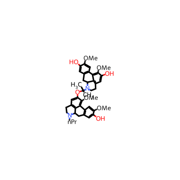 CCCN1CCc2cc(OC(C)(C)N3CCc4cc(O)c(OC)c5c4C3Cc3cc(O)c(OC)cc3-5)c(OC)c3c2C1Cc1cc(O)c(OC)cc1-3